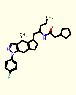 CCCC(C[C@H]1CCC2=C1[C@@H](C)c1cnn(-c3ccc(F)cc3)c1C2)NC(=O)CC1CCCC1